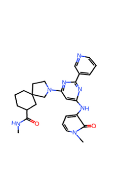 CNC(=O)C1CCCC2(CCN(c3cc(Nc4cccn(C)c4=O)nc(-c4cccnc4)n3)C2)C1